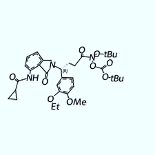 CCOc1cc([C@@H](CCC(=O)N(OC(=O)OC(C)(C)C)OC(C)(C)C)N2Cc3cccc(NC(=O)C4CC4)c3C2=O)ccc1OC